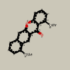 COc1cccc2cc3oc4cccc(OC)c4c(=O)c3cc12